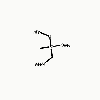 CCCO[Si](C)(CNC)OC